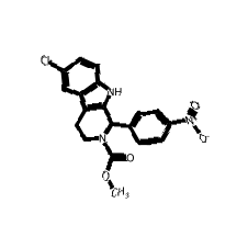 COC(=O)N1CCc2c([nH]c3ccc(Cl)cc23)C1c1ccc([N+](=O)[O-])cc1